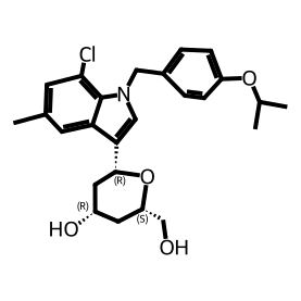 Cc1cc(Cl)c2c(c1)c([C@H]1C[C@@H](O)C[C@@H](CO)O1)cn2Cc1ccc(OC(C)C)cc1